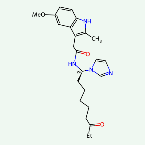 CCC(=O)CCCCC[C@@H](NC(=O)Cc1c(C)[nH]c2ccc(OC)cc12)n1ccnc1